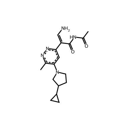 CC(=O)NC(=O)/C(=C\N)c1cc(N2CCC(C3CC3)C2)c(C)nn1